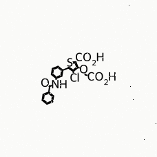 O=C(O)COc1c(C(=O)O)sc(-c2cccc(NC(=O)c3ccccc3)c2)c1Cl